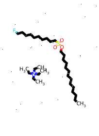 CCCCCCCCCCCCCCOS(=O)(=O)CCCCCCCCCCF.CC[N+](CC)(CC)CC